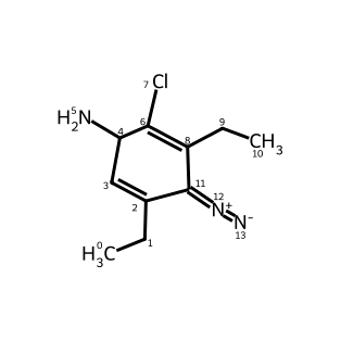 CCC1=CC(N)C(Cl)=C(CC)C1=[N+]=[N-]